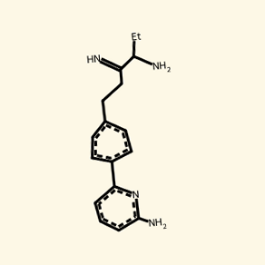 CCC(N)C(=N)CCc1ccc(-c2cccc(N)n2)cc1